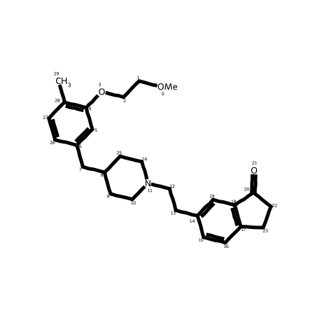 COCCOc1cc(CC2CCN(CCc3ccc4c(c3)C(=O)CC4)CC2)ccc1C